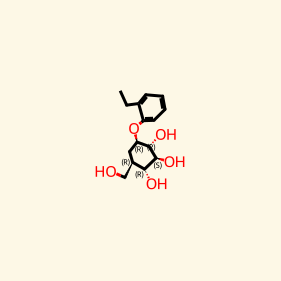 CCc1ccccc1O[C@@H]1C[C@H](CO)[C@@H](O)[C@H](O)[C@H]1O